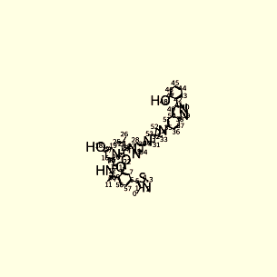 Cc1ncsc1-c1ccc([C@@H](C)NC(=O)[C@H]2C[C@H](O)CN2C(=O)[C@H](C(C)C)n2cc(N3CC4(CN(c5ccc6nnc(-c7ccccc7O)cc6c5)C4)C3)cn2)cc1